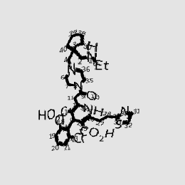 CCNCC1(CN2CCN(C(=O)CC3=C(C(=O)O)C(c4c(Cl)cccc4Cl)C(C(=O)O)=C(CCc4nccs4)N3)CC2)CCCC1